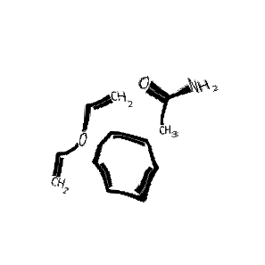 C=COC=C.CC(N)=O.c1ccccc1